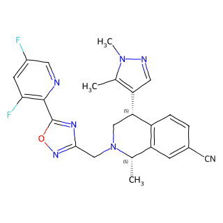 Cc1c([C@H]2CN(Cc3noc(-c4ncc(F)cc4F)n3)[C@@H](C)c3cc(C#N)ccc32)cnn1C